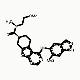 COCCN(C)C(=O)[C@H]1CCc2c(sc3ncnc(Nc4cc5cn[nH]c5cc4SC)c23)C1